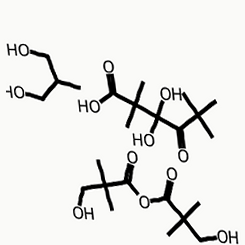 CC(C)(C)C(=O)C(O)(O)C(C)(C)C(=O)O.CC(C)(CO)C(=O)OC(=O)C(C)(C)CO.CC(CO)CO